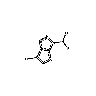 CCN(CC)n1ncn2c(Cl)cnc12